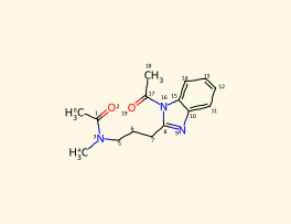 CC(=O)N(C)CCCc1nc2ccccc2n1C(C)=O